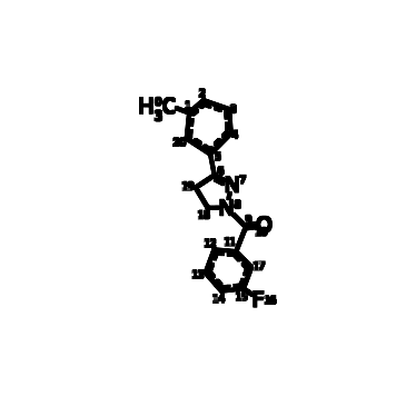 Cc1cccc(C2=NN(C(=O)c3cccc(F)c3)CC2)c1